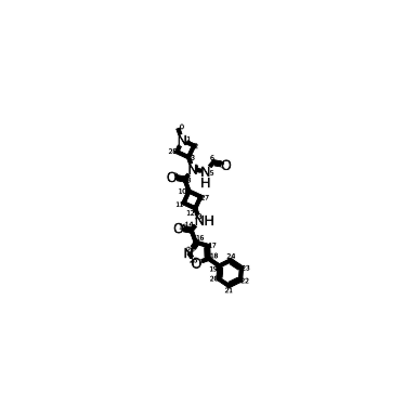 CN1CC(N(NC=O)C(=O)C2CC(NC(=O)c3cc(-c4ccccc4)on3)C2)C1